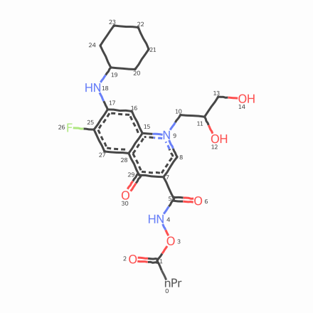 CCCC(=O)ONC(=O)c1cn(CC(O)CO)c2cc(NC3CCCCC3)c(F)cc2c1=O